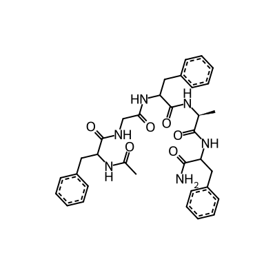 CC(=O)NC(Cc1ccccc1)C(=O)NCC(=O)NC(Cc1ccccc1)C(=O)N[C@@H](C)C(=O)NC(Cc1ccccc1)C(N)=O